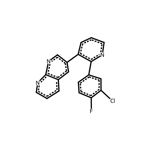 Fc1ccc(-c2ncccc2-c2cnc3ncccc3c2)cc1Cl